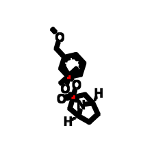 COCc1cccc(O[C@H]2C[C@H]3CC[C@@H](C2)N3C(=O)OC(C)(C)C)c1